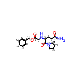 NC(=O)CCC(NCC(=O)OCc1ccccc1)C(=O)N1CCCC1